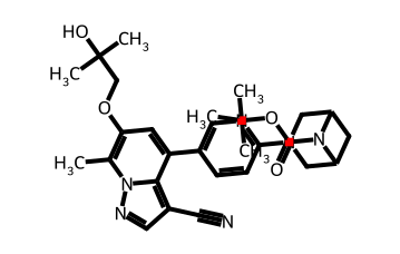 Cc1c(OCC(C)(C)O)cc(-c2ccc(N3CC4CC(C3)N4C(=O)OC(C)(C)C)nc2)c2c(C#N)cnn12